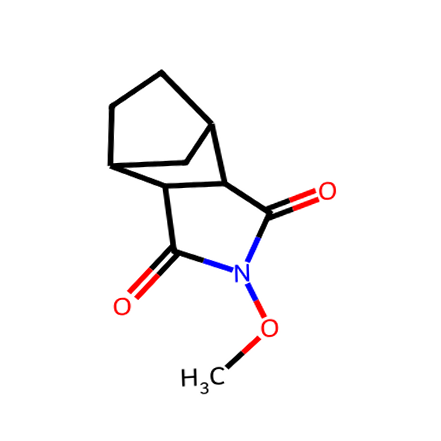 CON1C(=O)C2C3CCC(C3)C2C1=O